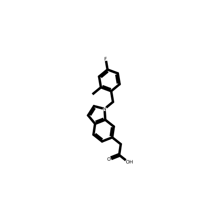 Cc1cc(F)ccc1Cn1ccc2ccc(CC(=O)O)cc21